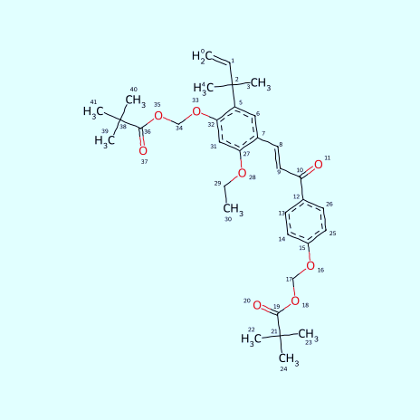 C=CC(C)(C)c1cc(/C=C/C(=O)c2ccc(OCOC(=O)C(C)(C)C)cc2)c(OCC)cc1OCOC(=O)C(C)(C)C